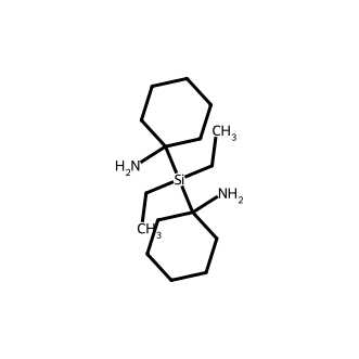 CC[Si](CC)(C1(N)CCCCC1)C1(N)CCCCC1